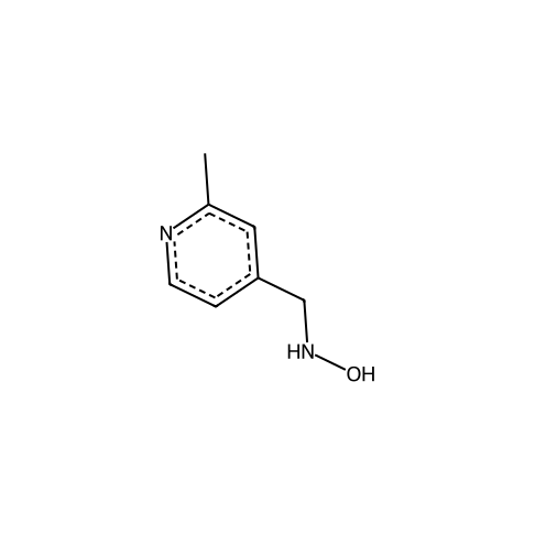 Cc1cc(CNO)ccn1